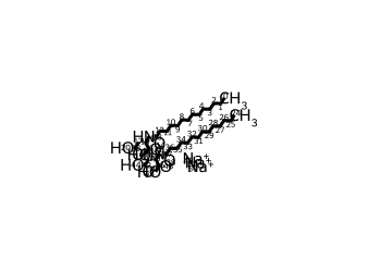 CCCCCCCCCCCCCC(=O)N[C@@H](CC(=O)O)C(=O)O.CCCCCCCCCCCCCC(=O)N[C@@H](CC(=O)O)C(=O)O.[Na+].[Na+].[Na+]